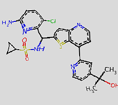 CC(C)(O)c1ccnc(-c2ccnc3cc(C(NS(=O)(=O)C4CC4)c4nc(N)ccc4Cl)sc23)c1